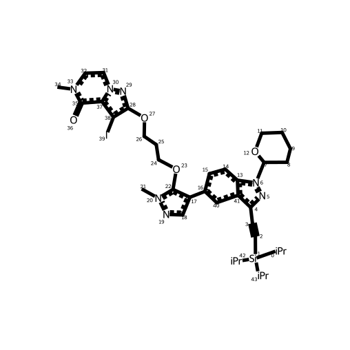 CC(C)[Si](C#Cc1nn(C2CCCCO2)c2ccc(-c3cnn(C)c3OCCCOc3nn4ccn(C)c(=O)c4c3I)cc12)(C(C)C)C(C)C